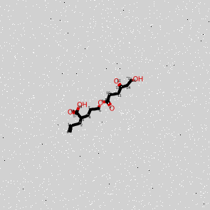 C=CCC(CCCOC(=O)CCC(=O)CCO)C(=O)O